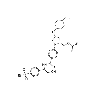 CCS(=O)(=O)c1ccc([C@H](CO)NC(=O)c2ccc(N3CC(OC4CCC(C(F)(F)F)CC4)C[C@H]3COC(F)F)cc2)cc1